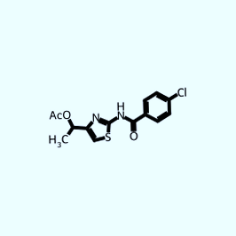 CC(=O)OC(C)c1csc(NC(=O)c2ccc(Cl)cc2)n1